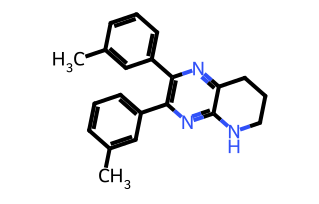 Cc1cccc(-c2nc3c(nc2-c2cccc(C)c2)NCCC3)c1